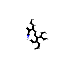 C=CC(/C=C\C)=C(\CC/C(=C/CC)C(=C)C#N)C(CC)CC